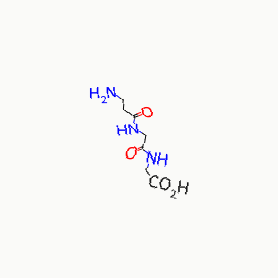 NCCC(=O)NCC(=O)NCC(=O)O